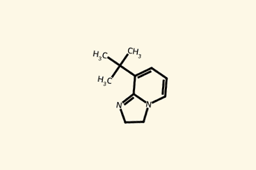 CC(C)(C)C1=CC=CN2CCN=C12